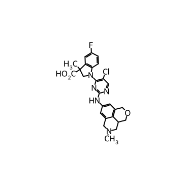 CN1Cc2cc(Nc3ncc(Cl)c(N4CC(C)(C(=O)O)c5cc(F)ccc54)n3)cc3c2C(COC3)C1